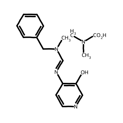 CN(C)C(=O)O.CN(C=Nc1ccncc1O)Cc1ccccc1